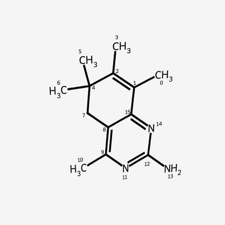 CC1=C(C)C(C)(C)Cc2c(C)nc(N)nc21